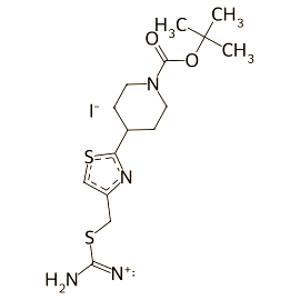 CC(C)(C)OC(=O)N1CCC(c2nc(CSC(=[N+])N)cs2)CC1.[I-]